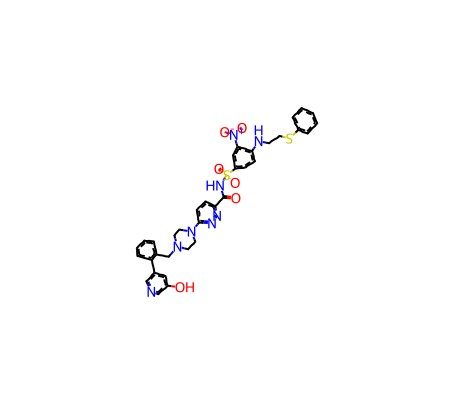 O=C(NS(=O)(=O)c1ccc(NCCSc2ccccc2)c([N+](=O)[O-])c1)c1ccc(N2CCN(Cc3ccccc3-c3cncc(O)c3)CC2)nn1